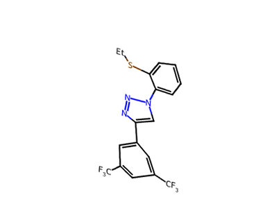 CCSc1ccccc1-n1cc(-c2cc(C(F)(F)F)cc(C(F)(F)F)c2)nn1